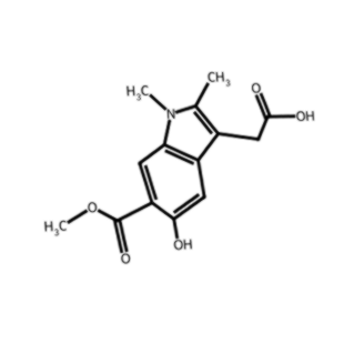 COC(=O)c1cc2c(cc1O)c(CC(=O)O)c(C)n2C